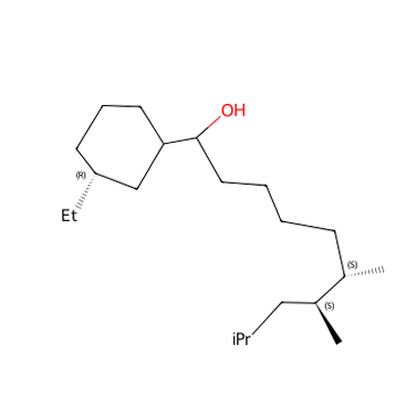 CC[C@@H]1CCCC(C(O)CCCC[C@H](C)[C@@H](C)CC(C)C)C1